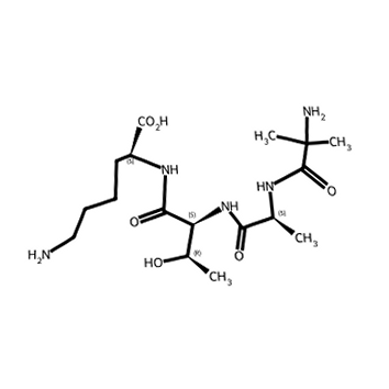 C[C@H](NC(=O)C(C)(C)N)C(=O)N[C@H](C(=O)N[C@@H](CCCCN)C(=O)O)[C@@H](C)O